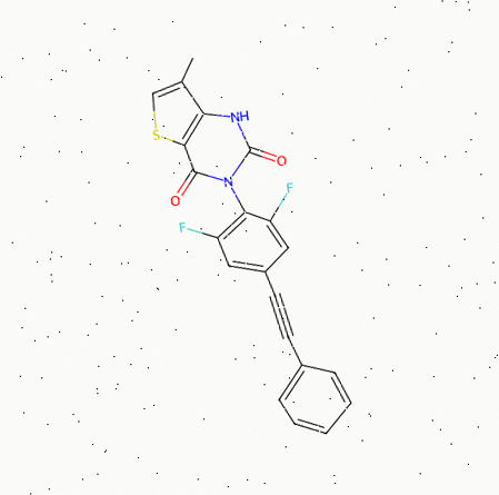 Cc1csc2c(=O)n(-c3c(F)cc(C#Cc4ccccc4)cc3F)c(=O)[nH]c12